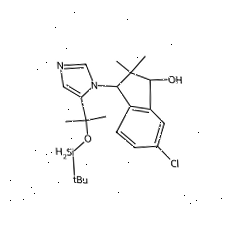 CC(C)(C)[SiH2]OC(C)(C)c1cncn1C1c2ccc(Cl)cc2C(O)C1(C)C